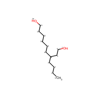 CCCCC(CCO)CCCCCCO